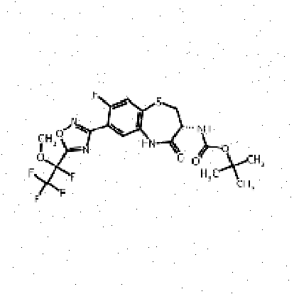 COC(F)(c1nc(-c2cc3c(cc2F)SC[C@H](NC(=O)OC(C)(C)C)C(=O)N3)no1)C(F)(F)F